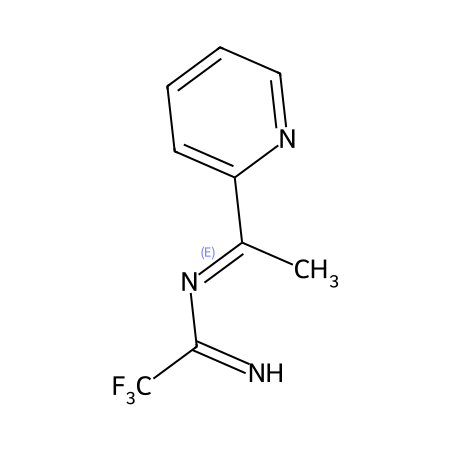 C/C(=N\C(=N)C(F)(F)F)c1ccccn1